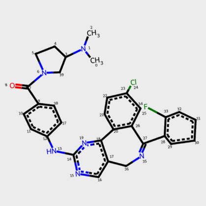 CN(C)C1CCN(C(=O)c2ccc(Nc3ncc4c(n3)-c3ccc(Cl)cc3C(c3ccccc3F)=NC4)cc2)C1